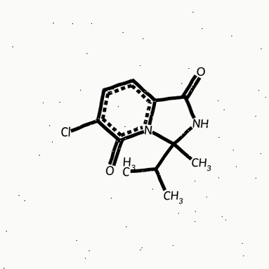 CC(C)C1(C)NC(=O)c2ccc(Cl)c(=O)n21